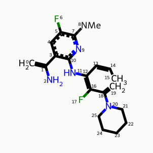 C=C(N)c1cc(F)c(NC)nc1NC(/C=C\C)=C(\F)C(=C)N1CCCCC1